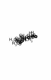 CCOC(=O)c1nc(Sc2cccc(NC(=O)NS(=O)(=O)c3ccccc3)c2Cl)c(C)nc1N1CCC2(CC1)CO[C@@H](C)[C@H]2NC(=O)OC(C)(C)C